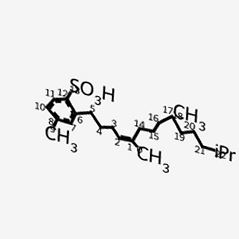 CC(=CCCCc1cc(C)ccc1S(=O)(=O)O)CCCC(C)CCCC(C)C